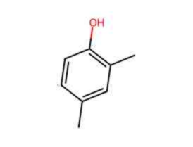 Cc1[c]cc(O)c(C)c1